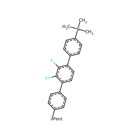 CCCCCc1ccc(-c2ccc(-c3ccc([Si](C)(C)C)cc3)c(F)c2F)cc1